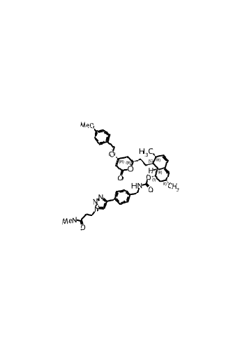 CNC(=O)CCn1cc(-c2ccc(CNC(=O)O[C@H]3C[C@@H](C)C=C4C=C[C@H](C)[C@H](CC[C@@H]5C[C@@H](OCc6ccc(OC)cc6)CC(=O)O5)[C@H]43)cc2)nn1